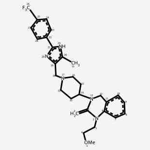 C=C1N(CCOC)c2ccccc2CN1C1CCN(Cc2nc(-c3ccc(C(F)(F)F)cc3)[nH]c2C)CC1